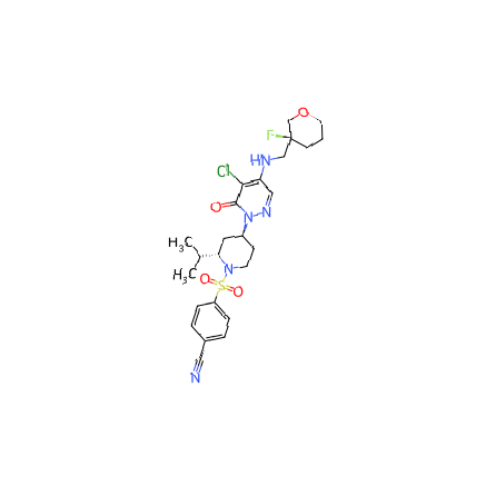 CC(C)[C@@H]1C[C@@H](n2ncc(NC[C@@]3(F)CCCOC3)c(Cl)c2=O)CCN1S(=O)(=O)c1ccc(C#N)cc1